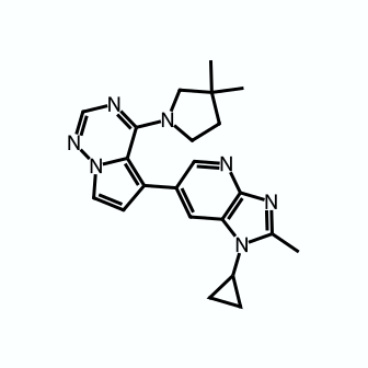 Cc1nc2ncc(-c3ccn4ncnc(N5CCC(C)(C)C5)c34)cc2n1C1CC1